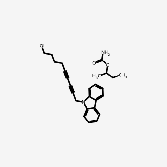 CCC(C)OC(N)=O.OCCCCC#CC#CCn1c2ccccc2c2ccccc21